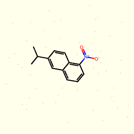 CC(C)c1ccc2c([N+](=O)[O-])cccc2c1